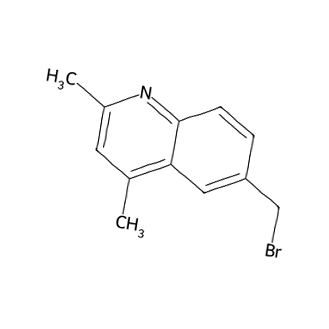 Cc1cc(C)c2cc(CBr)ccc2n1